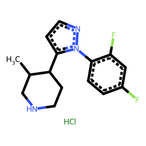 CC1CNCCC1c1ccnn1-c1ccc(F)cc1F.Cl